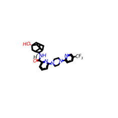 O=C(N[C@H]1C2CC3CC1C[C@](O)(C3)C2)c1cccc(N2CCN(c3ccc(C(F)(F)F)cn3)CC2)n1